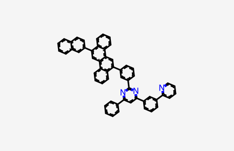 c1ccc(-c2cc(-c3cccc(-c4ccccn4)c3)nc(-c3cccc(-c4cc5c6ccccc6c(-c6ccc7ccccc7c6)cc5c5ccccc45)c3)n2)cc1